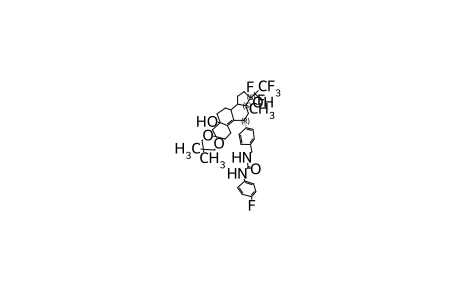 CC1(C)COC2(CCC3=C4C(CCC3(O)C2)C2CC[C@@](O)(C(F)(F)C(F)(F)F)[C@@]2(C)C[C@@H]4c2ccc(CNC(=O)Nc3ccc(F)cc3)cc2)OC1